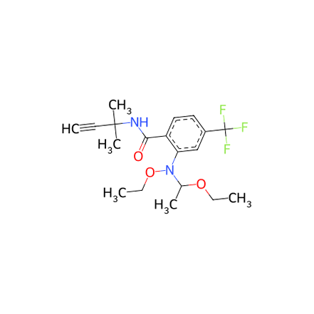 C#CC(C)(C)NC(=O)c1ccc(C(F)(F)F)cc1N(OCC)C(C)OCC